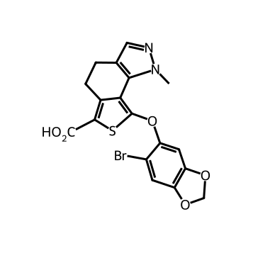 Cn1ncc2c1-c1c(Oc3cc4c(cc3Br)OCO4)sc(C(=O)O)c1CC2